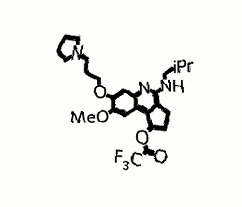 COc1cc2c3c(c(NCC(C)C)nc2cc1OCCCN1CCCC1)CCC3OC(=O)C(F)(F)F